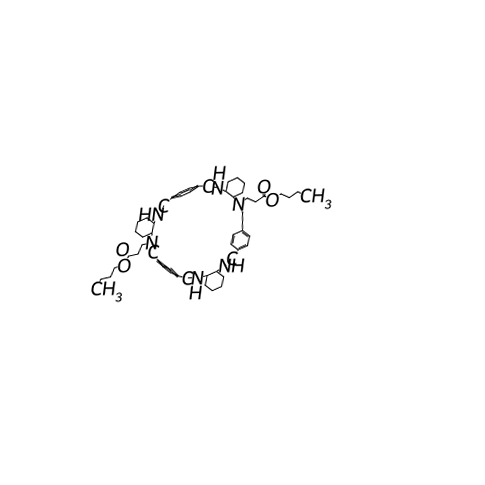 CCCCOC(=O)CCN1Cc2ccc(cc2)CNC2CCCCC2NCc2ccc(cc2)CN(CCC(=O)OCCCC)C2CCCCC2NCc2ccc(cc2)CNC2CCCCC21